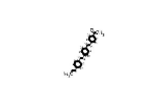 CCC[C@H]1CC[C@H](CC[C@H]2CC[C@H](CC[C@H]3CC[C@H](C(C)=O)CC3)CC2)CC1